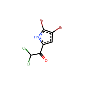 O=C(c1cc(Br)c(Br)[nH]1)C(Cl)Cl